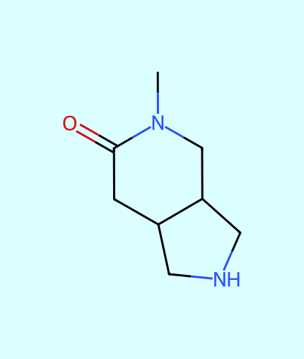 CN1CC2CNCC2CC1=O